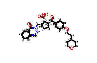 O=C(O)[C@H]1[C@H](Cn2nnc3ccccc3c2=O)CC[C@@H]1C(=O)c1ccc(OCCC2CCOCC2)cc1